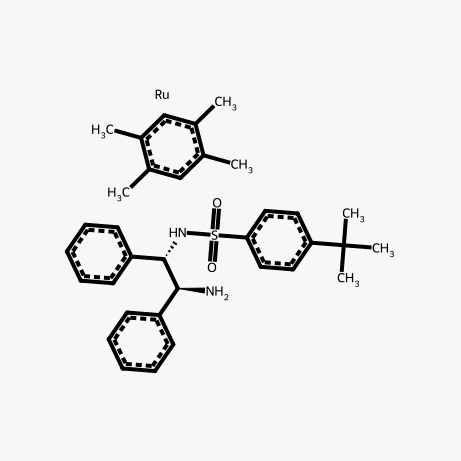 CC(C)(C)c1ccc(S(=O)(=O)N[C@@H](c2ccccc2)[C@@H](N)c2ccccc2)cc1.Cc1cc(C)c(C)cc1C.[Ru]